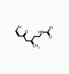 C=C(CCNC(=O)CC)CC(=O)/C=C\C(C)=O